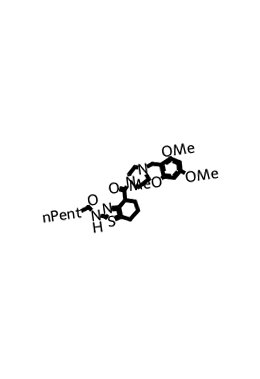 CCCCCC(=O)Nc1nc2c(s1)CCCC2C(=O)N1CCN(Cc2c(OC)cc(OC)cc2OC)CC1